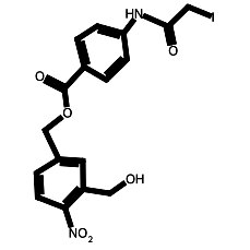 O=C(CI)Nc1ccc(C(=O)OCc2ccc([N+](=O)[O-])c(CO)c2)cc1